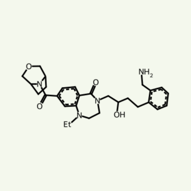 CCN1CCN(CC(O)CCc2ccccc2CN)C(=O)c2ccc(C(=O)N3C4CCC3COC4)cc21